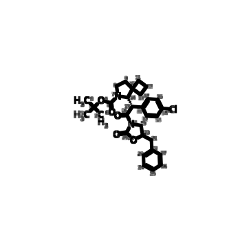 CC(C)(C)OC(=O)N1CCC2(CCC2)C1[C@@H](C(=O)N1CC(Cc2ccccc2)OC1=O)c1ccc(Cl)cc1